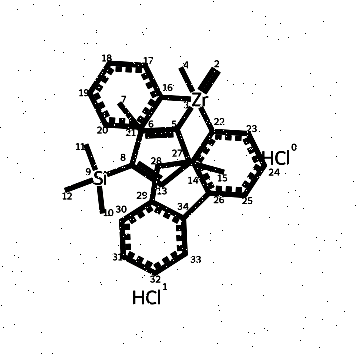 Cl.Cl.[CH2]=[Zr]([CH3])([C]1=C(C)C([Si](C)(C)C)=CC1C)([c]1ccccc1)[c]1cccc2c1Cc1ccccc1-2